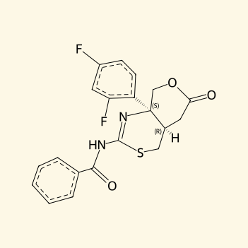 O=C1C[C@H]2CSC(NC(=O)c3ccccc3)=N[C@@]2(c2ccc(F)cc2F)CO1